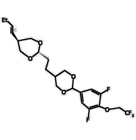 CC/C=C/[C@H]1CO[C@H](CCC2COC(c3cc(F)c(OCC(F)(F)F)c(F)c3)OC2)OC1